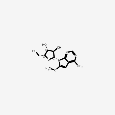 COc1cc2c(N)ncnc2n1[C@@H]1O[C@H](CO)[C@H](O)C1O